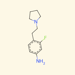 Nc1ccc(CCN2CCCC2)c(F)c1